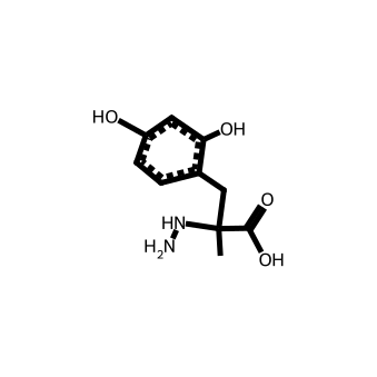 CC(Cc1ccc(O)cc1O)(NN)C(=O)O